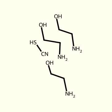 N#CS.NCCO.NCCO.NCCO